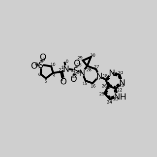 CN(C(=O)C1CCS(=O)(=O)C1)S(=O)(=O)N1CCN(c2ncnc3[nH]ccc23)CC12CC2